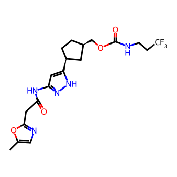 Cc1cnc(CC(=O)Nc2cc([C@H]3CC[C@@H](COC(=O)NCCC(F)(F)F)C3)[nH]n2)o1